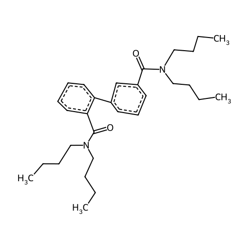 CCCCN(CCCC)C(=O)c1cccc(-c2ccccc2C(=O)N(CCCC)CCCC)c1